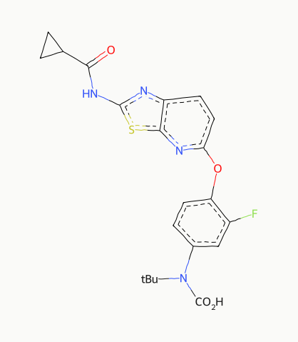 CC(C)(C)N(C(=O)O)c1ccc(Oc2ccc3nc(NC(=O)C4CC4)sc3n2)c(F)c1